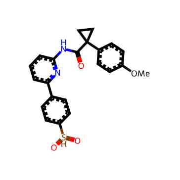 COc1ccc(C2(C(=O)Nc3cccc(-c4ccc([SH](=O)=O)cc4)n3)CC2)cc1